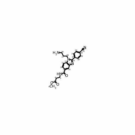 COC(=O)CCNC(=O)c1ccc2c(c1)nc(-c1ccc(C#N)cc1)n2CCCN